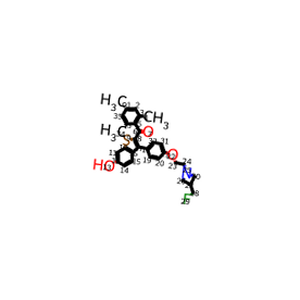 Cc1cc(C)c(C(=O)c2sc3cc(O)ccc3c2-c2ccc(OCCN3CC(CF)C3)cc2)c(C)c1